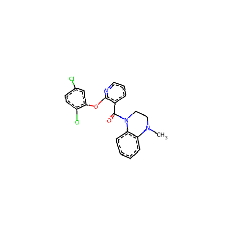 CN1CCN(C(=O)c2cccnc2Oc2cc(Cl)ccc2Cl)c2ccccc21